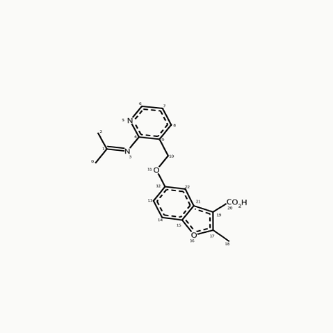 CC(C)=Nc1ncccc1COc1ccc2oc(C)c(C(=O)O)c2c1